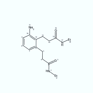 CCNC(=O)CCc1cccc(N)c1CCC(=O)NCC